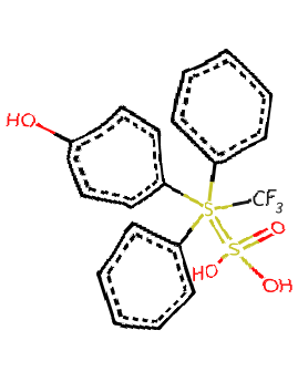 O=S(O)(O)=S(c1ccccc1)(c1ccccc1)(c1ccc(O)cc1)C(F)(F)F